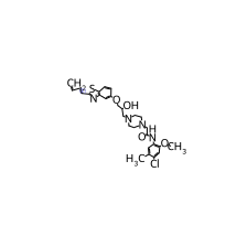 C=C/C=C/c1nc2cc(OCC(O)CN3CCN(CC(=O)Nc4cc(C)c(Cl)cc4OC)CC3)ccc2s1